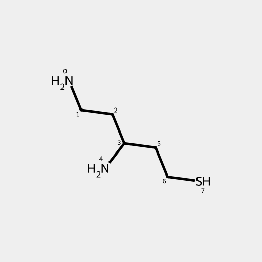 NCCC(N)CCS